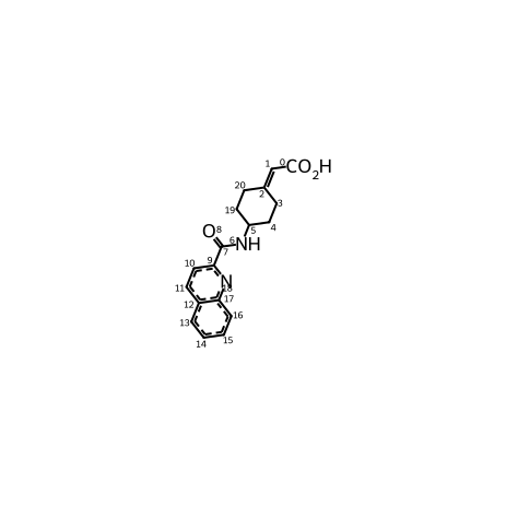 O=C(O)C=C1CCC(NC(=O)c2ccc3ccccc3n2)CC1